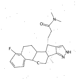 CN(C)C(=O)CC[C@@H]1c2c[nH]nc2[C@@]2(C)CCC3c4cccc(F)c4CCC3C12